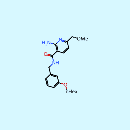 CCCCCCOc1cccc(CNC(=O)c2ccc(COC)nc2N)c1